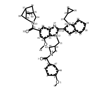 COc1ccc(C(=O)N2CC(Cn3c(-c4cc5ccccc5n4CC4CC4)nc4cc(C(=O)N5CC6CC7CC5[C@H]76)cc(OC)c43)C2)cc1